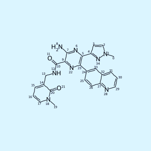 Cn1ccc(-c2nc(N)c(C(=O)NCc3cccn(C)c3=O)nc2-c2ccc3ncccc3c2)n1